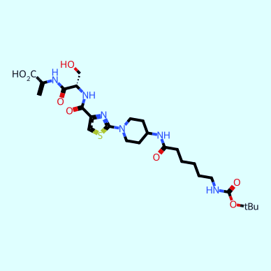 C=C(NC(=O)[C@H](CO)NC(=O)c1csc(N2CCC(NC(=O)CCCCCNC(=O)OC(C)(C)C)CC2)n1)C(=O)O